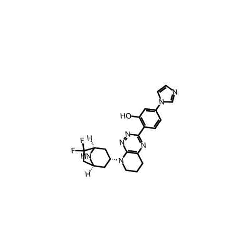 Oc1cc(-n2ccnc2)ccc1-c1nnc2c(n1)CCCN2[C@@H]1C[C@H]2CC(F)(F)[C@@H](C1)N2